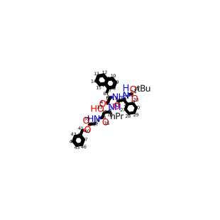 CCCC(NC(=O)[C@H](Cc1cccc2ccccc12)NC(=O)[C@@H](NC(=O)OC(C)(C)C)C1CCCCC1)C(O)C(=O)NCC(=O)OCc1ccccc1